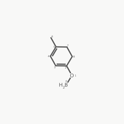 BOC1=CC=C(C)CC1